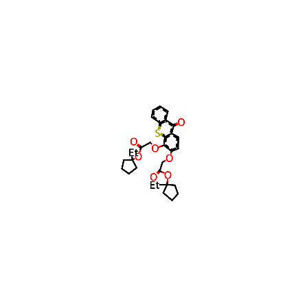 CCC1(OC(=O)COc2ccc3c(=O)c4ccccc4sc3c2OCC(=O)OC2(CC)CCCC2)CCCC1